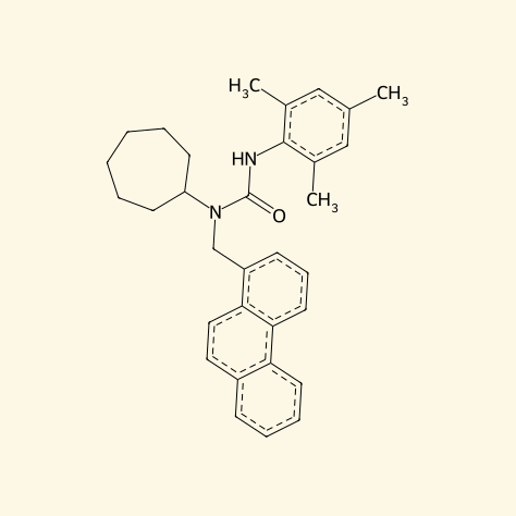 Cc1cc(C)c(NC(=O)N(Cc2cccc3c2ccc2ccccc23)C2CCCCCC2)c(C)c1